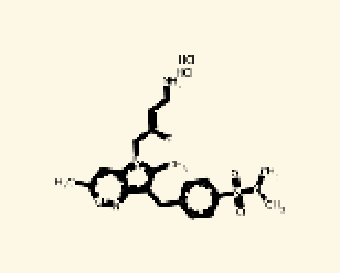 Cc1cc2c(nn1)c(Cc1ccc(S(=O)(=O)N(C)C)cc1)c(C)n2C/C(F)=C/CN.Cl.Cl